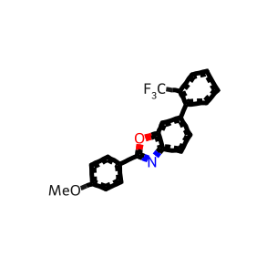 COc1ccc(-c2nc3ccc(-c4ccccc4C(F)(F)F)cc3o2)cc1